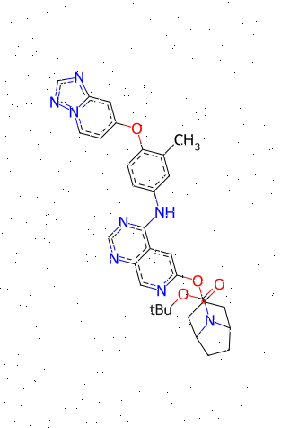 Cc1cc(Nc2ncnc3cnc(OC4CC5CCC(C4)N5C(=O)OC(C)(C)C)cc23)ccc1Oc1ccn2ncnc2c1